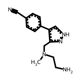 CN(CCN)Cc1n[nH]cc1-c1ccc(C#N)cc1